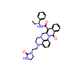 CC[C@H](NC(=O)c1c(CN2CCN(CCN3CCNC3=O)CC2)n(-c2ccccc2)c(=O)c2ccccc12)c1ccccc1